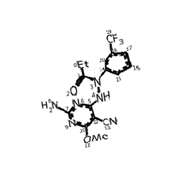 CCC(=O)N(Nc1nc(N)nc(OC)c1C#N)c1cccc(C(F)(F)F)c1